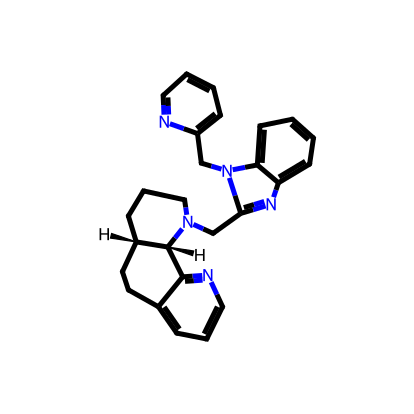 c1ccc(Cn2c(CN3CCC[C@H]4CCc5cccnc5[C@H]43)nc3ccccc32)nc1